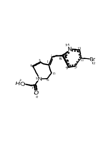 O=C(O)N1CCC(=Cc2ccc(Br)cn2)CC1